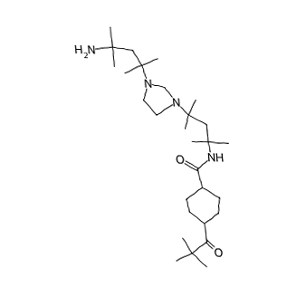 CC(C)(N)CC(C)(C)N1CCN(C(C)(C)CC(C)(C)NC(=O)C2CCC(C(=O)C(C)(C)C)CC2)C1